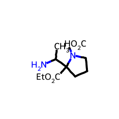 CCOC(=O)C1(C(C)N)CCCN1C(=O)O